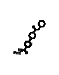 CCCC(C)NC(=O)c1ccc(N2CCN(C(=O)CC3CCCCC3)CC2)nc1